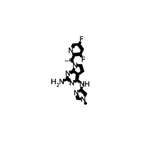 C[C@H](c1ncc(F)cc1F)n1ccc2c(Nc3cn(C)cn3)nc(N)nc21